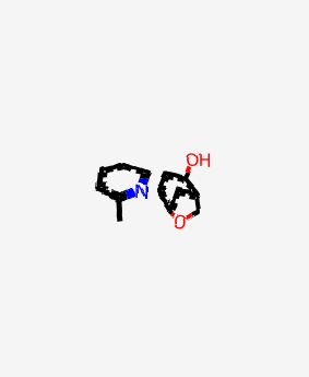 Cc1ccccn1.Oc1ccc2cc1CO2